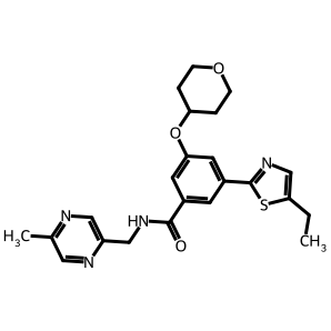 CCc1cnc(-c2cc(OC3CCOCC3)cc(C(=O)NCc3cnc(C)cn3)c2)s1